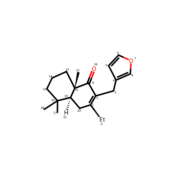 CCC1=C(Cc2ccoc2)C(=O)[C@@]2(C)CCCC(C)(C)[C@@H]2C1